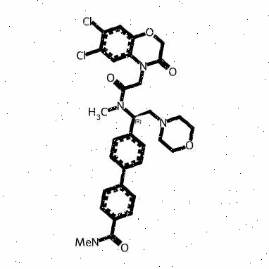 CNC(=O)c1ccc(-c2ccc([C@H](CN3CCOCC3)N(C)C(=O)CN3C(=O)COc4cc(Cl)c(Cl)cc43)cc2)cc1